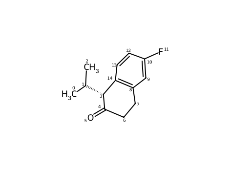 CC(C)[C@H]1C(=O)CCc2cc(F)ccc21